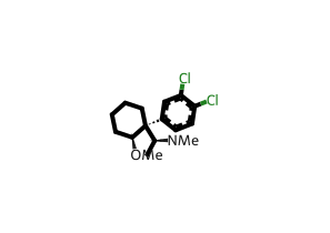 CN[C@@H](C)[C@]1(c2ccc(Cl)c(Cl)c2)CCCC[C@@H]1OC